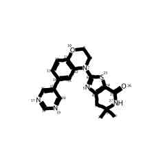 CC1(C)Cc2nc(N3CCOc4ccc(-c5cncnc5)cc43)sc2C(=O)N1